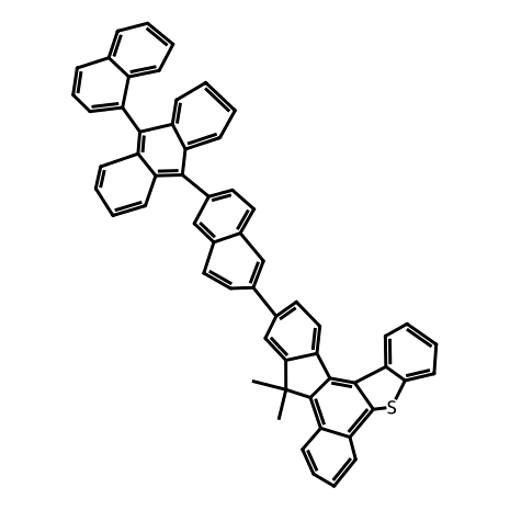 CC1(C)c2cc(-c3ccc4cc(-c5c6ccccc6c(-c6cccc7ccccc67)c6ccccc56)ccc4c3)ccc2-c2c1c1ccccc1c1sc3ccccc3c21